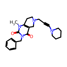 Cn1c2c(c(=O)n(Cc3ccccc3)c1=O)CN(CC#CN1CCCCC1)CC2